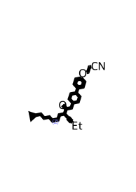 CCC#CC(C/C=C\CCCC1CC1)C(=O)CC1CCC(c2ccc(OCCC#N)cc2)CC1